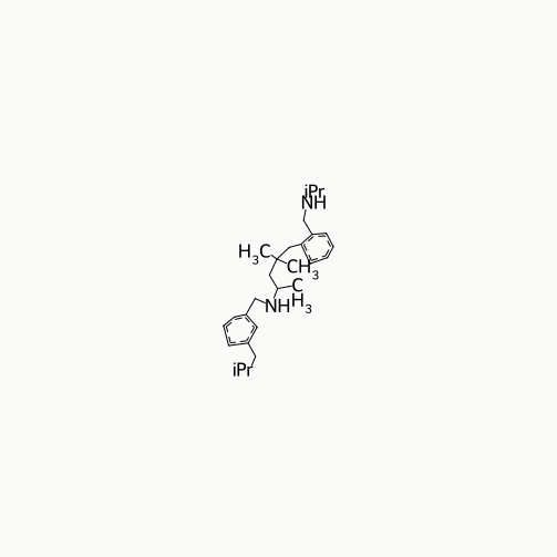 CC(C)Cc1cccc(CNC(C)CC(C)(C)Cc2ccccc2CNC(C)C)c1